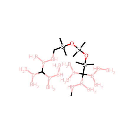 BBB(B)C(B(B)B)B(B)BC[Si](C)(C)O[Si](C)(C)O[Si](C)(C)C(B(B)B)(B(B)BB)B(B)BC